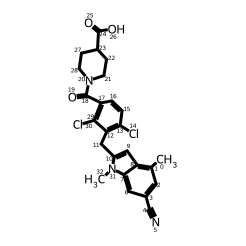 Cc1cc(C#N)cc2c1cc(Cc1c(Cl)ccc(C(=O)N3CCC(C(=O)O)CC3)c1Cl)n2C